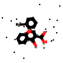 Cc1ccccc1.O=C(O)c1coc2ccccc2c1=O